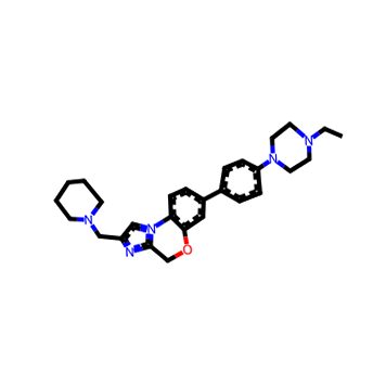 CCN1CCN(c2ccc(-c3ccc4c(c3)OCc3nc(CN5CCCCC5)cn3-4)cc2)CC1